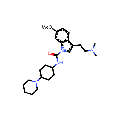 COc1ccc2c(CCN(C)C)cn(C(=O)NC3CCC(N4CCCCC4)CC3)c2c1